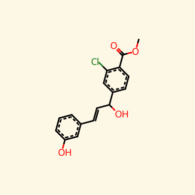 COC(=O)c1ccc(C(O)C=Cc2cccc(O)c2)cc1Cl